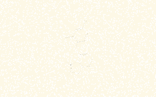 CN1Cc2cccc(Oc3ccc(N)cc3Cl)c2C1=O